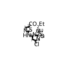 CCOC(=O)c1cnc(Nc2cc(Cl)nc(S(C)(=O)=O)n2)s1